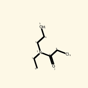 CCN(CCO)C(=O)CCl